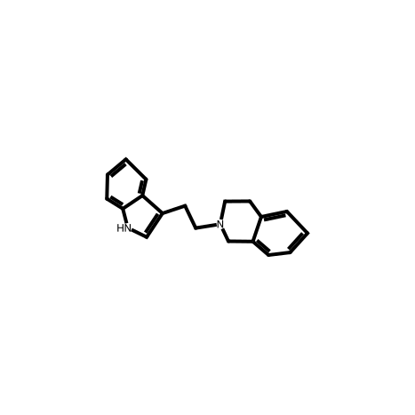 c1ccc2c(c1)CCN(CCc1c[nH]c3ccccc13)C2